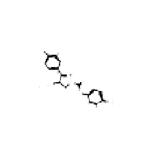 COC1CN(C(=O)Nc2ccc(C(F)(F)F)cc2)N=C1c1ccc(Cl)cc1